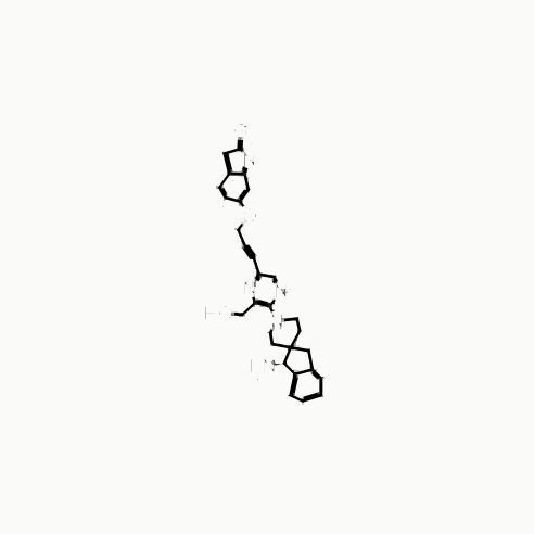 N[C@@H]1c2ccccc2CC12CCN(c1ncc(C#CCOc3ccc4c(c3)=NC(=O)C=4)nc1CO)CC2